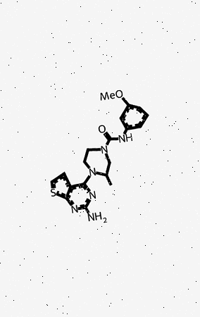 COc1cccc(NC(=O)N2CCN(c3nc(N)nc4sccc34)C(C)C2)c1